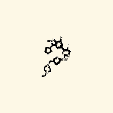 CCN1CCN(Cc2ccc(Nc3ncc(F)c(-c4cc(F)c5nn(C)c(C6CCCC6)c5c4)n3)nc2)CC1